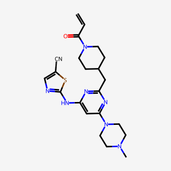 C=CC(=O)N1CCC(Cc2nc(Nc3ncc(C#N)s3)cc(N3CCN(C)CC3)n2)CC1